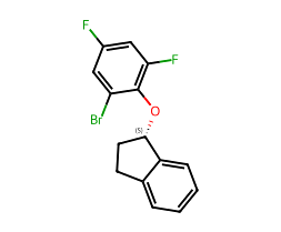 Fc1cc(F)c(O[C@H]2CCc3ccccc32)c(Br)c1